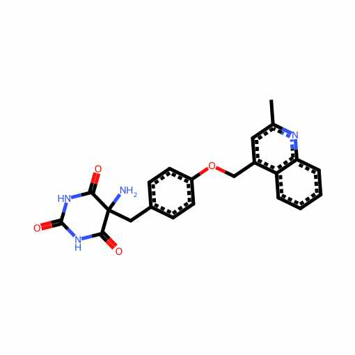 Cc1cc(COc2ccc(CC3(N)C(=O)NC(=O)NC3=O)cc2)c2ccccc2n1